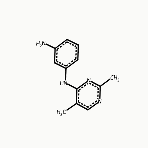 Cc1ncc(C)c(Nc2cccc(N)c2)n1